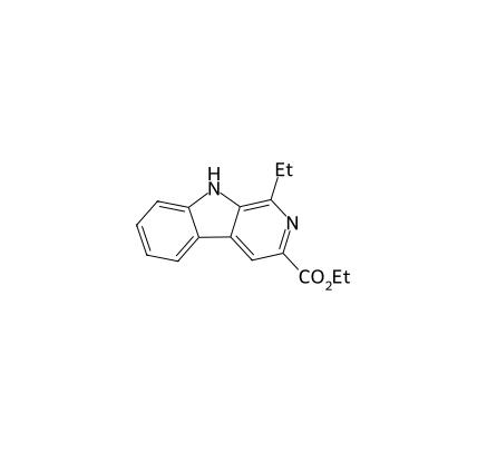 CCOC(=O)c1cc2c([nH]c3ccccc32)c(CC)n1